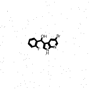 OC(c1ccc[c]c1F)c1c[nH]c2ncc(Br)cc12